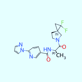 C[C@@H](NC(=O)c1ccc(-n2cccn2)nc1)C(=O)N1CC[C@@]2(C1)CC2(F)F